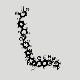 O=C1CCC(Oc2ccc(C3CCN(CC(=O)N4CCN(c5ccc(-c6cnc7[nH]cc(C(=O)c8c(F)ccc(NS(=O)(=O)N9CC[C@@H](F)C9)c8F)c7c6)cn5)CC4)CC3)cc2)C(=O)N1